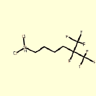 FC(F)(F)C(F)(CCCC[SiH](Cl)Cl)C(F)(F)F